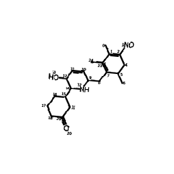 CC1=C(N=O)CC(C)C(CC2C=CC(O)C(C3CCCC(=O)C3)N2)=C1C